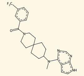 CN(c1ncnc2[nH]ccc12)C1CCC2(CC1)CCN(C(=O)c1cccc(C(F)(F)F)c1)CC2